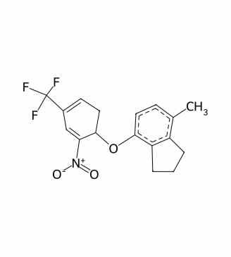 Cc1ccc(OC2CC=C(C(F)(F)F)C=C2[N+](=O)[O-])c2c1CCC2